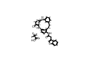 O=C(Cc1coc2ccccc12)Nc1ccc2cc1CCc1cccc(c1)Nc1ncc(Cl)c(n1)N2.O=C(O)C(F)(F)F